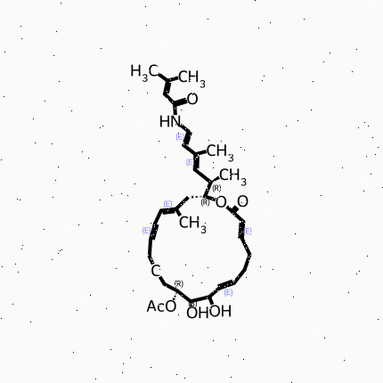 CC(=O)O[C@@H]1CCC/C=C/C=C(\C)C[C@H]([C@H](C)/C=C(C)/C=C/NC(=O)C=C(C)C)OC(=O)/C=C/CC/C=C/C(O)[C@@H]1O